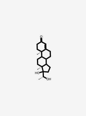 C[C@@H](O)C1(O)CCC2C3CCC4=CC(=O)CC[C@]4(C)C3CC[C@@]21C